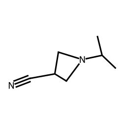 CC(C)N1CC(C#N)C1